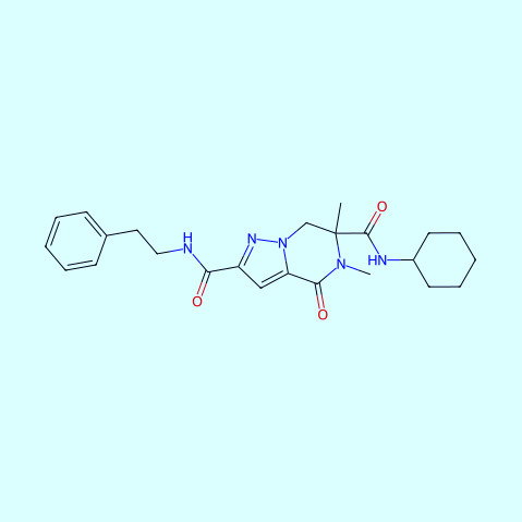 CN1C(=O)c2cc(C(=O)NCCc3ccccc3)nn2CC1(C)C(=O)NC1CCCCC1